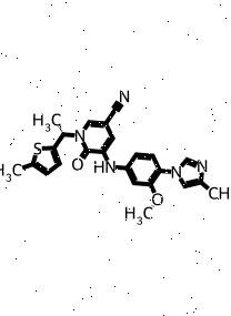 COc1cc(Nc2cc(C#N)cn([C@@H](C)c3ccc(C)s3)c2=O)ccc1-n1cnc(C)c1